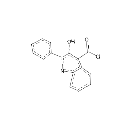 O=C(Cl)c1c(O)c(-c2ccccc2)nc2ccccc12